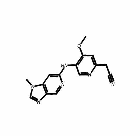 COc1cc(CC#N)ncc1Nc1cc2c(cn1)ncn2C